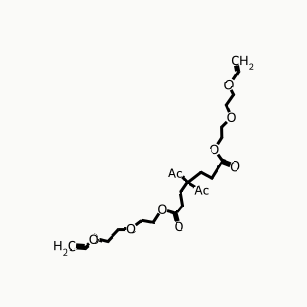 C=COCCOCCOC(=O)CCC(CCC(=O)OCCOCCOC=C)(C(C)=O)C(C)=O